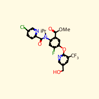 COC(=O)c1cc(Oc2ncc(CO)cc2C(F)(F)F)c(F)cc1N(C(=O)c1ccc(Cl)cn1)C(C)C